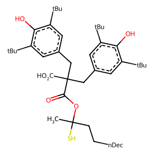 CCCCCCCCCCCCC(C)(S)OC(=O)C(Cc1cc(C(C)(C)C)c(O)c(C(C)(C)C)c1)(Cc1cc(C(C)(C)C)c(O)c(C(C)(C)C)c1)C(=O)O